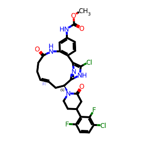 COC(=O)Nc1ccc2c(c1)NC(=O)CC/C=C/C[C@H](N1CCC(c3c(F)ccc(Cl)c3F)CC1=O)c1nc-2c(Cl)[nH]1